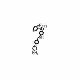 NC1CCN(c2ccc(CNc3ccc(OC4(O)N=Cc5ccncc5N4)cc3)cc2)CC1